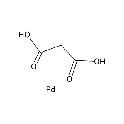 O=C(O)CC(=O)O.[Pd]